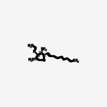 CCCCCCCC=C[C@@H]1OC[C@H](C)[C@H](OCC)[C@@H]1N